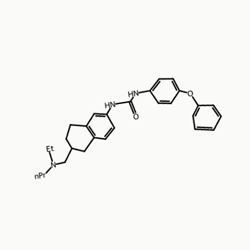 CCCN(CC)CC1CCc2cc(NC(=O)Nc3ccc(Oc4ccccc4)cc3)ccc2C1